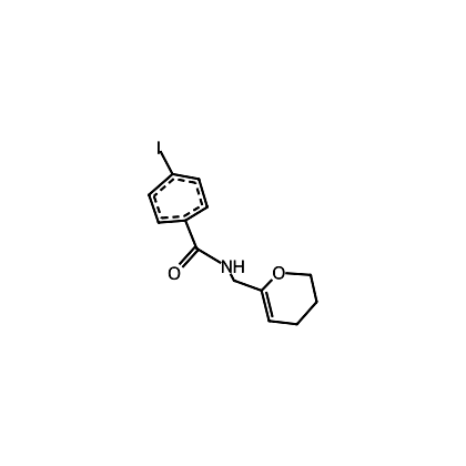 O=C(NCC1=CCCCO1)c1ccc(I)cc1